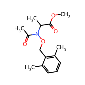 COC(=O)C(C)N(OCc1c(C)cccc1C)C(C)=O